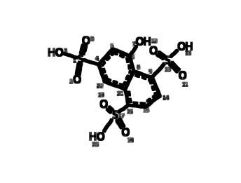 O=S(=O)(O)c1[c]c(O)c2c(S(=O)(=O)O)ccc(S(=O)(=O)O)c2c1